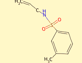 C=CCNS(=O)(=O)c1cccc(C)c1